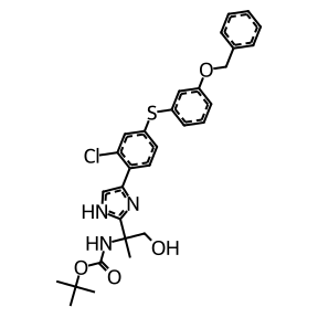 CC(C)(C)OC(=O)NC(C)(CO)c1nc(-c2ccc(Sc3cccc(OCc4ccccc4)c3)cc2Cl)c[nH]1